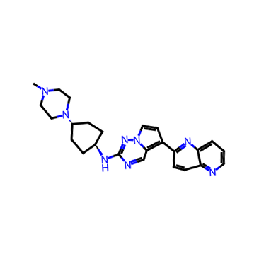 CN1CCN([C@H]2CC[C@H](Nc3ncc4c(-c5ccc6ncccc6n5)ccn4n3)CC2)CC1